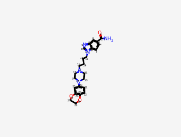 NC(=O)c1ccc2c(c1)ncn2CCCCN1CCN(c2ccc3c(c2)OCCO3)CC1